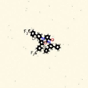 O=C1c2cccc(-n3c4ccc(-c5ccc(C(F)(F)F)cc5C(F)(F)F)cc4c4cc(-c5ccc(C(F)(F)F)cc5C(F)(F)F)ccc43)c2C(=O)N1c1cc(-c2ccccc2)cc(-c2ccccc2)c1